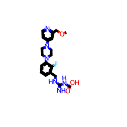 COCc1cc(N2CCN(c3cccc(CNC(=N)NC(=O)O)c3F)CC2)ccn1